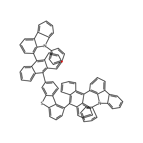 c1ccc(-n2c3ccccc3c3cccc(-c4c5ccccc5c(-c5ccc6c(c5)sc5cccc(-c7c8ccccc8c(-c8cccc9c%10ccccc%10n(-c%10ccccc%10)c89)c8ccccc78)c56)c5ccccc45)c32)cc1